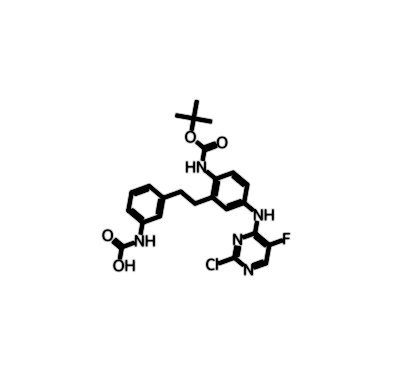 CC(C)(C)OC(=O)Nc1ccc(Nc2nc(Cl)ncc2F)cc1CCc1cccc(NC(=O)O)c1